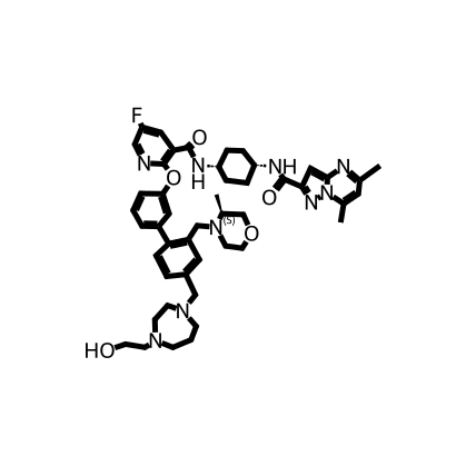 Cc1cc(C)n2nc(C(=O)N[C@H]3CC[C@@H](NC(=O)c4cc(F)cnc4Oc4cccc(-c5ccc(CN6CCCN(CCO)CC6)cc5CN5CCOC[C@@H]5C)c4)CC3)cc2n1